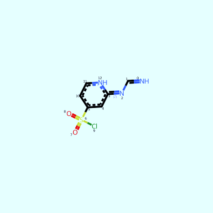 N=C/N=c1/cc(S(=O)(=O)Cl)cc[nH]1